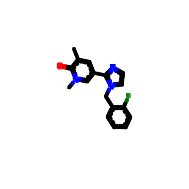 Cc1cc(-c2nccn2Cc2ccccc2F)cn(C)c1=O